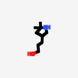 CC1(C)CC(CCCO)CN1